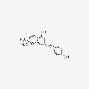 CC1(C)C=Cc2c(O)cc(/C=C/c3ccc(O)cc3)cc2O1